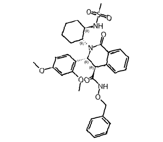 COc1ccc([C@H]2[C@H](C(=O)NOCc3ccccc3)c3ccccc3C(=O)N2[C@@H]2CCCC[C@H]2NS(C)(=O)=O)c(OC)c1